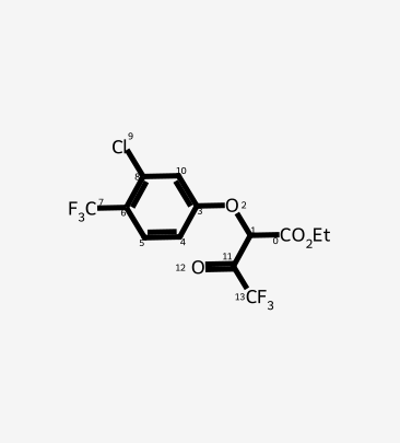 CCOC(=O)C(Oc1ccc(C(F)(F)F)c(Cl)c1)C(=O)C(F)(F)F